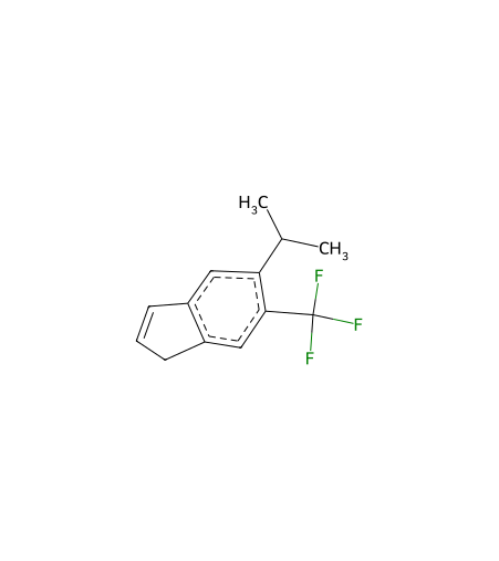 CC(C)c1cc2c(cc1C(F)(F)F)CC=C2